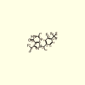 Cc1nc2c(c(C(F)F)nn2C(C)c2ccc(C(F)(F)F)c(F)c2)c(=O)[nH]1